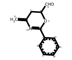 C=C1CC(C=O)OC(c2ccccc2)=N1